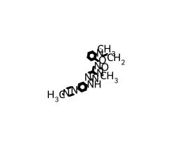 C=CC(=O)N(C)c1ccccc1CN1Cc2cnc(Nc3ccc(N4CCN(C)CC4)cc3)nc2N(C)C1=O